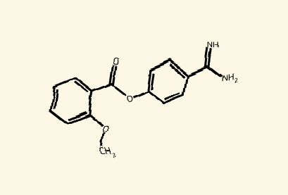 COc1ccccc1C(=O)Oc1ccc(C(=N)N)cc1